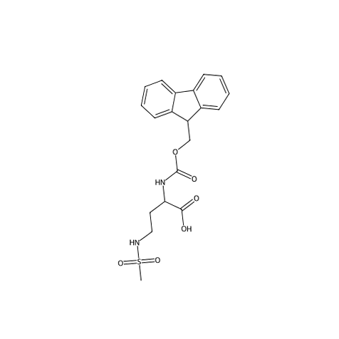 CS(=O)(=O)NCCC(NC(=O)OCC1c2ccccc2-c2ccccc21)C(=O)O